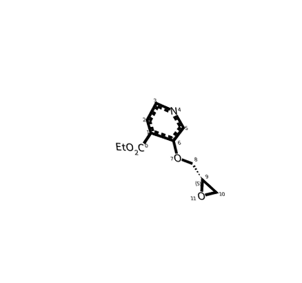 CCOC(=O)c1ccncc1OC[C@@H]1CO1